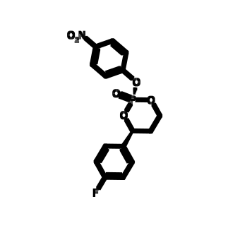 O=[N+]([O-])c1ccc(O[P@]2(=O)OCC[C@@H](c3ccc(F)cc3)O2)cc1